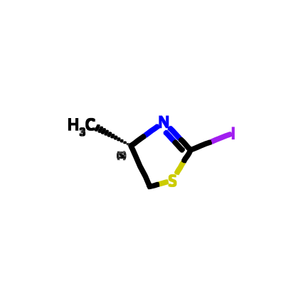 C[C@H]1CSC(I)=N1